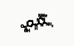 CNc1nc(N)nc(Nc2cccc(S(=O)O)c2)n1